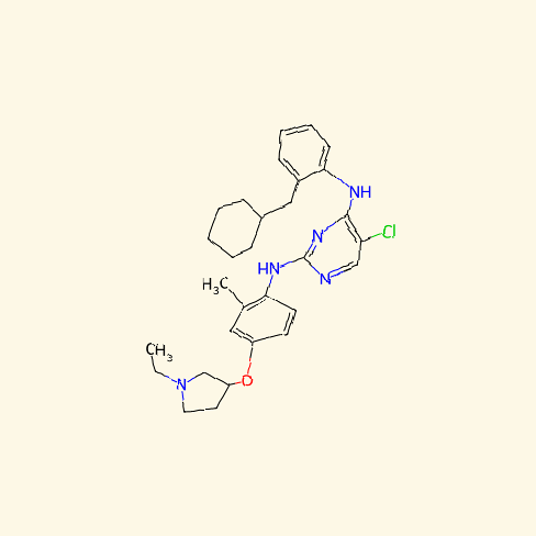 CCN1CCC(Oc2ccc(Nc3ncc(Cl)c(Nc4ccccc4CC4CCCCC4)n3)c(C)c2)C1